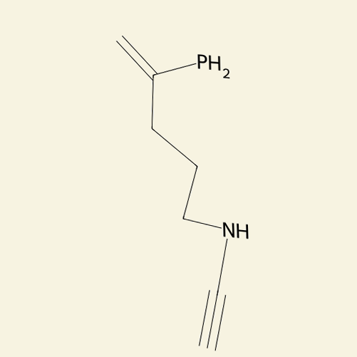 C#CNCCCC(=C)P